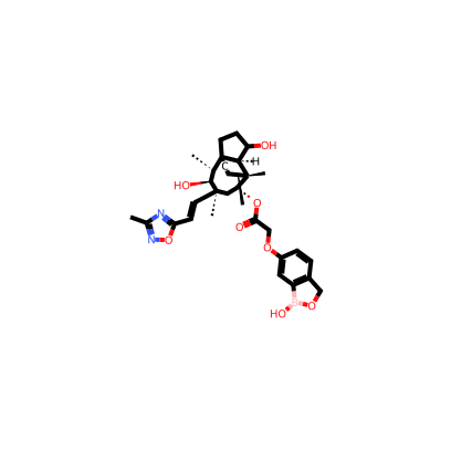 Cc1noc(/C=C/[C@]2(C)C[C@@H](OC(=O)COc3ccc4c(c3)B(O)OC4)[C@]3(C)[C@H](C)CC[C@]4(CCC(O)[C@H]43)[C@@H](C)[C@@H]2O)n1